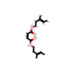 CC=C(C)CCOC(=O)/C=C\C(=O)OCCC(C)=CC